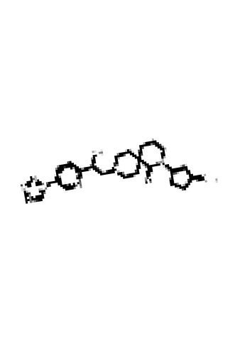 C=C1C=C(N2CCCC3(CCN(CC(O)c4ccc(-n5cnnn5)cn4)CC3)C2=O)CC1